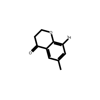 [3H]c1cc(C)cc2c1OCCC2=O